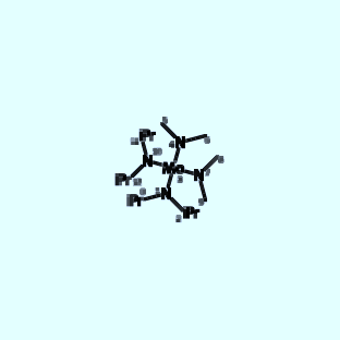 CC(C)[N](C(C)C)[Mo]([N](C)C)([N](C)C)[N](C(C)C)C(C)C